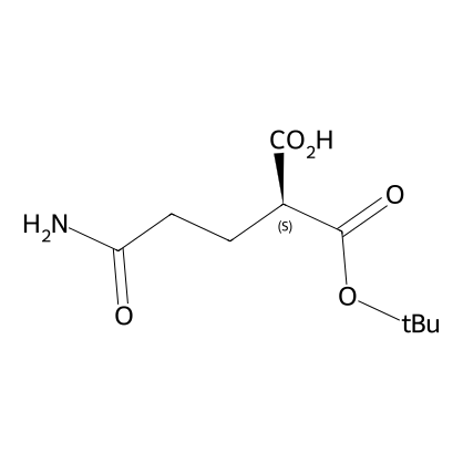 CC(C)(C)OC(=O)[C@@H](CCC(N)=O)C(=O)O